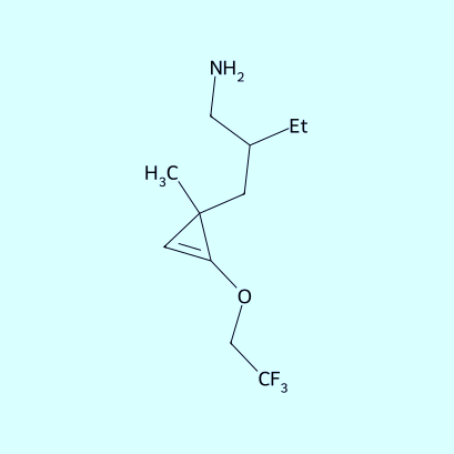 CCC(CN)CC1(C)C=C1OCC(F)(F)F